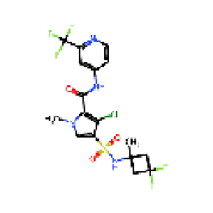 Cn1cc(S(=O)(=O)NC2(C)CC(F)(F)C2)c(Cl)c1C(=O)Nc1ccnc(C(F)(F)F)c1